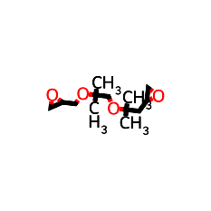 CC(C)(COC(C)(C)CC1CO1)OCC1CO1